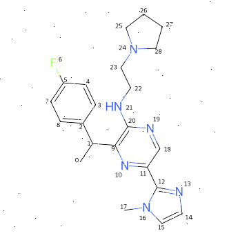 CC(c1ccc(F)cc1)c1nc(-c2nccn2C)cnc1NCCN1CCCC1